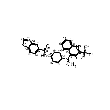 CN(c1cc(C(F)(F)F)nc2ccccc12)[C@H]1CC[C@@H](NC(=O)c2ccc3scnc3c2)CC1